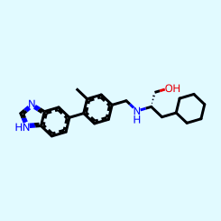 Cc1cc(CN[C@H](CO)CC2CCCCC2)ccc1-c1ccc2[nH]cnc2c1